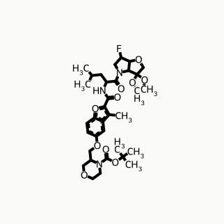 COC1(OC)COC2C(F)CN(C(=O)C(CC(C)C)NC(=O)c3oc4ccc(OCC5COCCN5C(=O)OC(C)(C)C)cc4c3C)C21